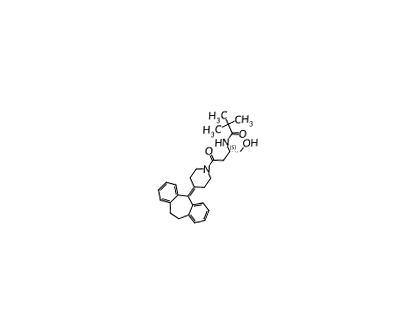 CC(C)(C)C(=O)N[C@H](CO)CC(=O)N1CCC(=C2c3ccccc3CCc3ccccc32)CC1